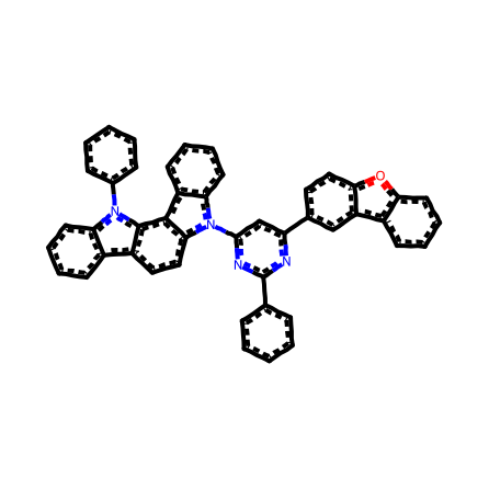 c1ccc(-c2nc(-c3ccc4oc5ccccc5c4c3)cc(-n3c4ccccc4c4c3ccc3c5ccccc5n(-c5ccccc5)c34)n2)cc1